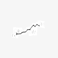 CCC(O)CCCCC(O)CCCCO